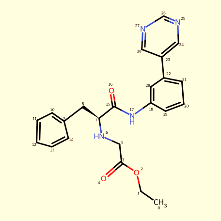 CCOC(=O)CN[C@@H](Cc1ccccc1)C(=O)Nc1cccc(-c2cncnc2)c1